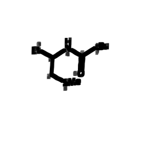 CCC(CSC)NC(=O)C(C)(C)C